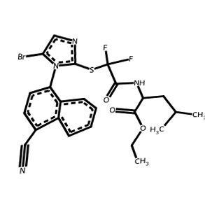 CCOC(=O)C(CC(C)C)NC(=O)C(F)(F)Sc1ncc(Br)n1-c1ccc(C#N)c2ccccc12